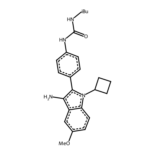 CCC(C)NC(=O)Nc1ccc(-c2c(N)c3cc(OC)ccc3n2C2CCC2)cc1